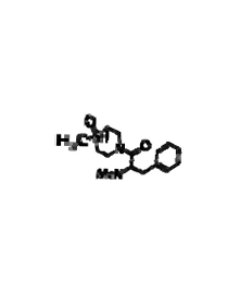 CNC(Cc1ccccc1)C(=O)N1CC[SH](C)(=O)CC1